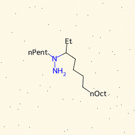 CCCCCCCCCCCCC(CC)N(N)CCCCC